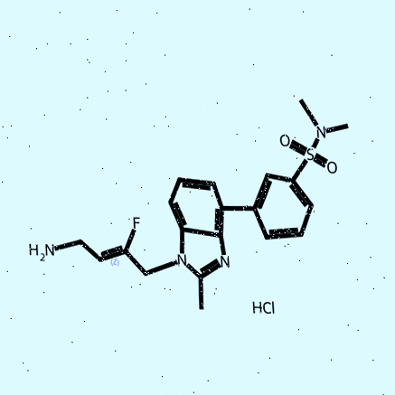 Cc1nc2c(-c3cccc(S(=O)(=O)N(C)C)c3)cccc2n1C/C(F)=C/CN.Cl